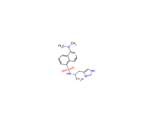 CN(C)c1cccc2c(S(=O)(=O)NC(Cc3c[nH]cn3)C(=O)O)cccc12